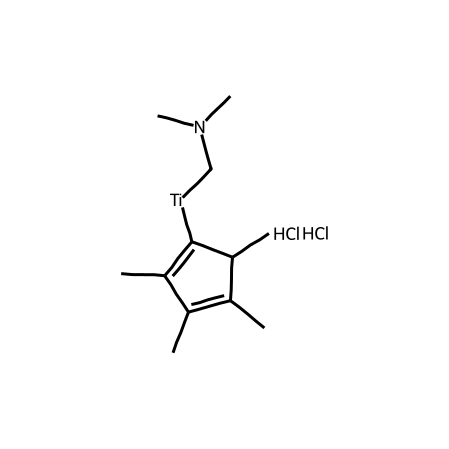 CC1=C(C)C(C)[C]([Ti][CH2]N(C)C)=C1C.Cl.Cl